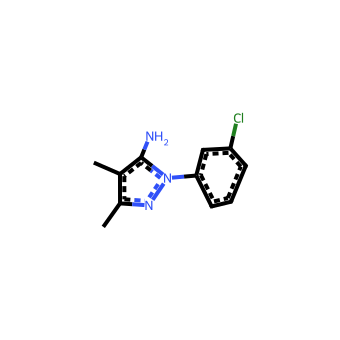 Cc1nn(-c2cccc(Cl)c2)c(N)c1C